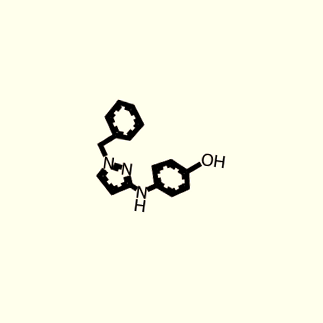 Oc1ccc(Nc2ccn(Cc3ccccc3)n2)cc1